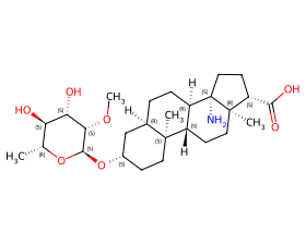 CO[C@@H]1[C@@H](O[C@H]2CC[C@@]3(C)[C@H](CC[C@@H]4[C@@H]3CC[C@]3(C)[C@@H](C(=O)O)CC[C@]43N)C2)O[C@H](C)[C@@H](O)[C@@H]1O